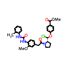 COC(=O)c1ccc(OC(Cl)[C@@H]2CCCN2C(=O)Cc2ccc(NC(=O)Nc3ccccc3C)c(OC)c2)cc1